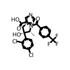 C[C@@H](N(CC(=O)O)C(=O)c1ccc(C(F)(F)F)cc1)[C@](O)(Cn1cncn1)c1ccc(Cl)cc1Cl